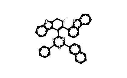 C[C@H]1Cc2oc3ccccc3c2C(c2nc(-c3ccccc3)nc(-c3ccc4ccccc4c3)n2)=C1c1cccc2c1sc1ccccc12